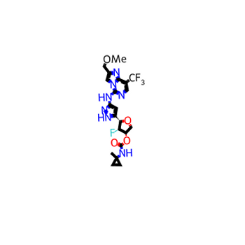 COCc1cn2c(Nc3cc([C@@H]4OC[C@H](OC(=O)NC5(C)CC5)[C@@H]4F)[nH]n3)ncc(C(F)(F)F)c2n1